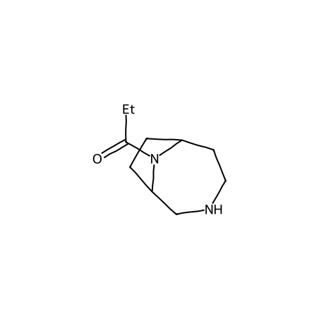 CCC(=O)N1C2CCNCC1CC2